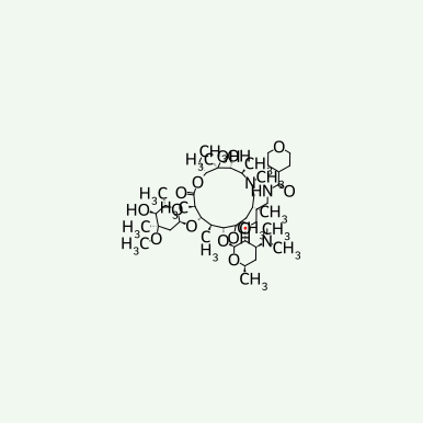 CC[C@H]1OC(=O)[C@H](C)[C@@H](O[C@H]2C[C@@](C)(OC)[C@@H](O)[C@H](C)O2)[C@H](C)[C@@H](O[C@@H]2O[C@H](C)C[C@H](N(C)C)[C@H]2OCCCNC(=O)C2CCOCC2)[C@](C)(O)C[C@@H](C)CN(C)[C@H](C)[C@@H](O)[C@]1(C)O